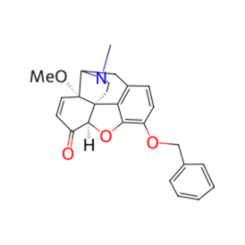 CO[C@@]12C=CC(=O)[C@@H]3Oc4c(OCc5ccccc5)ccc5c4[C@@]31CCN(C)C2C5